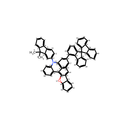 CC1(C)c2ccccc2-c2ccc(N(c3cccc(-c4cccc5c4-c4ccccc4C54c5ccccc5-c5ccccc54)c3)c3ccccc3-c3cccc4c3oc3ccccc34)cc21